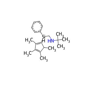 CC1=C(C)C(C)C([SiH](CNC(C)(C)C)c2ccccc2)=C1C